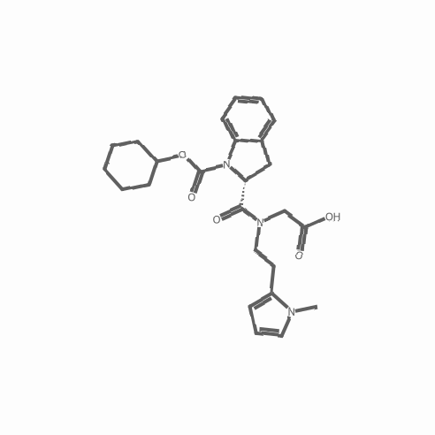 Cn1cccc1CCN(CC(=O)O)C(=O)[C@H]1Cc2ccccc2N1C(=O)OC1CCCCC1